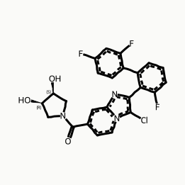 O=C(c1ccn2c(Cl)c(-c3c(F)cccc3-c3ccc(F)cc3F)nc2c1)N1C[C@@H](O)[C@@H](O)C1